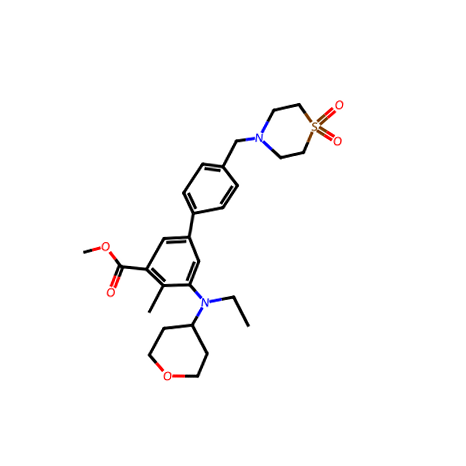 CCN(c1cc(-c2ccc(CN3CCS(=O)(=O)CC3)cc2)cc(C(=O)OC)c1C)C1CCOCC1